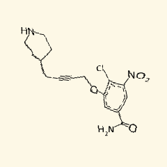 NC(=O)c1cc(OCC#CCC2CCNCC2)c(Cl)c([N+](=O)[O-])c1